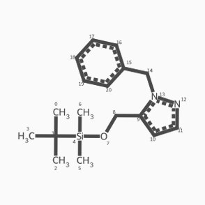 CC(C)(C)[Si](C)(C)OCc1c[c]nn1Cc1ccccc1